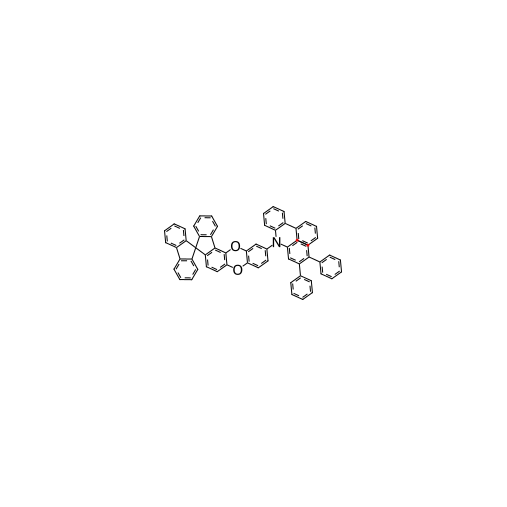 c1ccc(-c2ccc(N(c3ccc4c(c3)Oc3c(ccc5c3-c3ccccc3C53c5ccccc5-c5ccccc53)O4)c3ccccc3-c3ccccc3)cc2-c2ccccc2)cc1